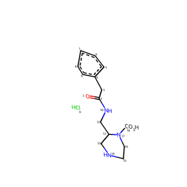 Cl.O=C(Cc1ccccc1)NCC1CNCCN1C(=O)O